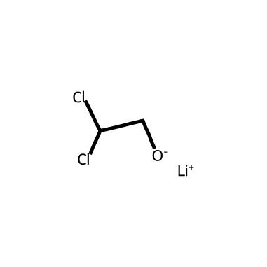 [Li+].[O-]CC(Cl)Cl